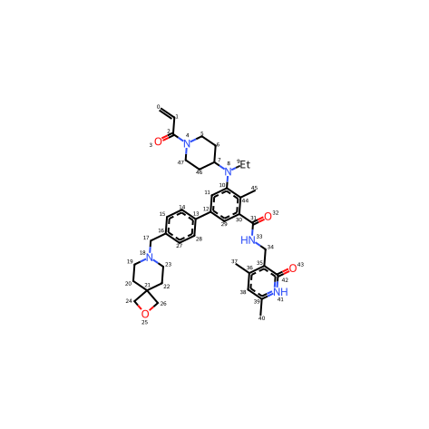 C=CC(=O)N1CCC(N(CC)c2cc(-c3ccc(CN4CCC5(CC4)COC5)cc3)cc(C(=O)NCc3c(C)cc(C)[nH]c3=O)c2C)CC1